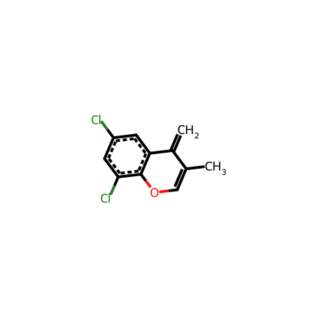 C=C1C(C)=COc2c(Cl)cc(Cl)cc21